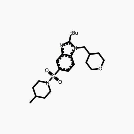 CC1CCN(S(=O)(=O)c2ccc3c(c2)nc(C(C)(C)C)n3CC2CCOCC2)CC1